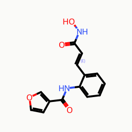 O=C(/C=C/c1ccccc1NC(=O)c1ccoc1)NO